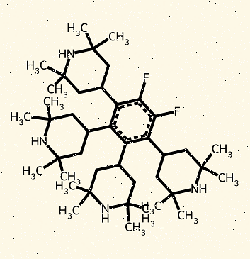 CC1(C)CC(c2c(F)c(F)c(C3CC(C)(C)NC(C)(C)C3)c(C3CC(C)(C)NC(C)(C)C3)c2C2CC(C)(C)NC(C)(C)C2)CC(C)(C)N1